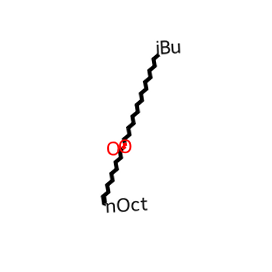 CCCCCCCC/C=C\CCCCCCCC(=O)OCCCCCCCCCCCCCCCCC(C)CC